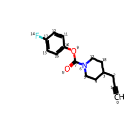 C#CCC1CCN(C(=O)Oc2ccc(F)cc2)CC1